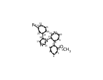 COc1ccccc1-c1ccncc1-n1cncc1-c1cccc(F)c1